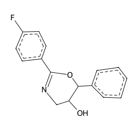 OC1CN=C(c2ccc(F)cc2)OC1c1ccccc1